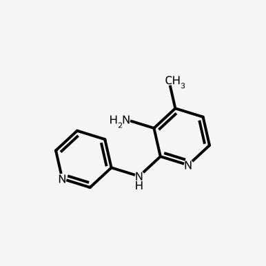 Cc1ccnc(Nc2cccnc2)c1N